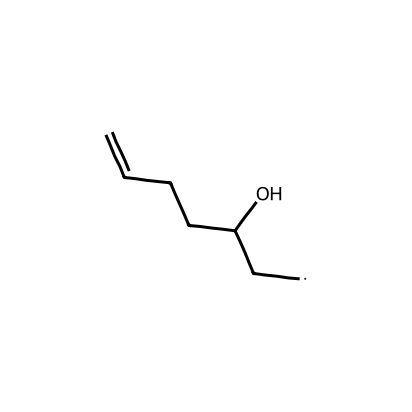 [CH2]CC(O)CCC=C